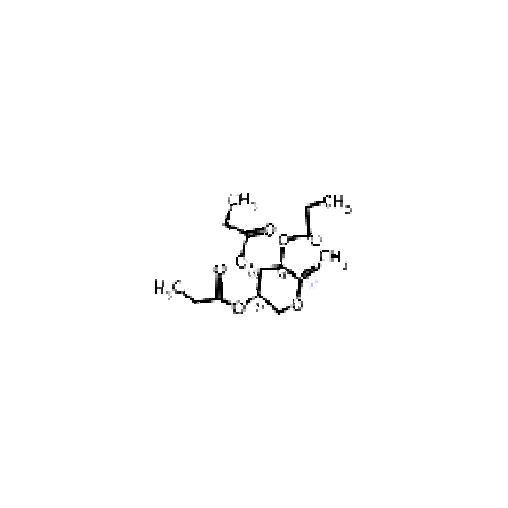 C/C=C1/OC[C@@H](OC(=O)CC)[C@H](OC(=O)CC)[C@H]1OC(=O)CC